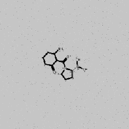 C=C1CCCC(N)C1C(=O)N1CCC[C@H]1B(O)O